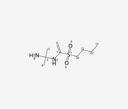 C=C(NC(C)(C)N)S(=O)(=O)CCCC